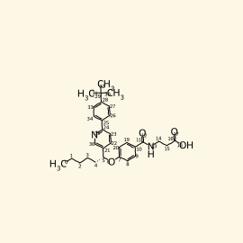 CCCCC[C@@H](Oc1ccc(C(=O)NCCC(=O)O)cc1)c1ccc(-c2ccc(C(C)(C)C)cc2)nc1